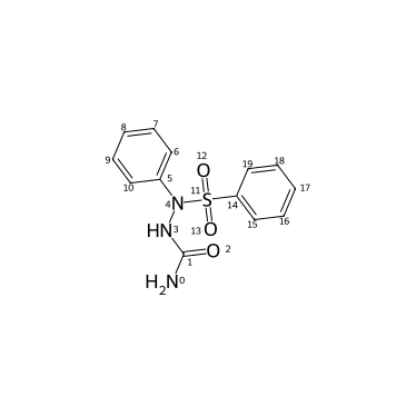 NC(=O)NN(c1ccccc1)S(=O)(=O)c1ccccc1